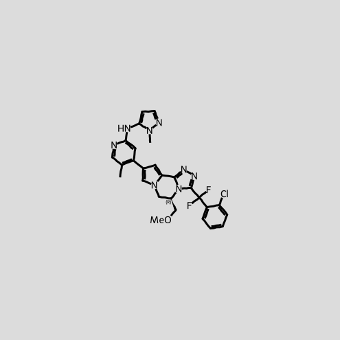 COC[C@H]1Cn2cc(-c3cc(Nc4ccnn4C)ncc3C)cc2-c2nnc(C(F)(F)c3ccccc3Cl)n21